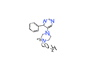 C[C@H]1CN(c2cncnc2-c2ccccc2)CCN1C(=O)O